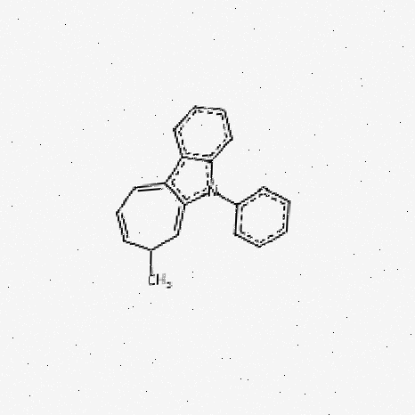 CC1C=CC=c2c(n(-c3ccccc3)c3ccccc23)=C1